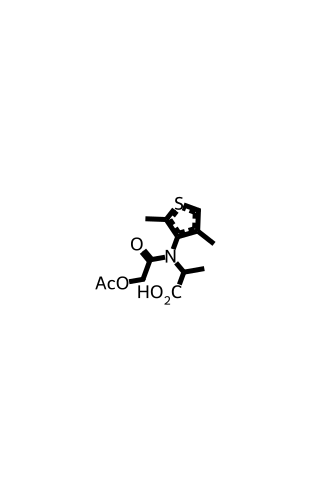 CC(=O)OCC(=O)N(c1c(C)csc1C)C(C)C(=O)O